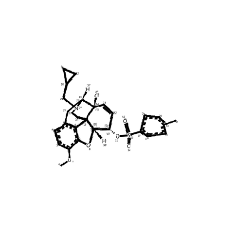 COc1ccc2c3c1O[C@H]1[C@@H](OS(=O)(=O)c4ccc(C)cc4)C=C[C@@]4(Cl)[C@@H](C2)N(CC2CC2)CCC314